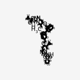 CCc1cn2c(NS(=O)(=O)C3CC3)nnc2cc1OCC12CC3CC(C1)CC(C1C4CC5CC1CC(COc1cc6nnc(NS(=O)(=O)N7CCCC7)n6cc1C1CC1)(C5)C4)(C3)C2